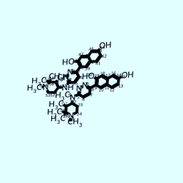 CC1C(N(C)c2ccc(-c3cc4ccc(O)cc4cc3O)nn2)CCN(C)C1(C)C.CC1C(Nc2ccc(-c3cc4ccc(O)cc4cc3O)nn2)CCN(C)C1(C)C